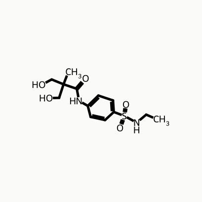 CCNS(=O)(=O)c1ccc(NC(=O)C(C)(CO)CO)cc1